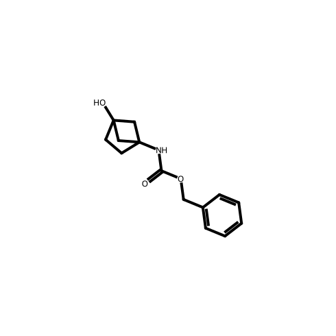 O=C(NC12CCC(O)(C1)C2)OCc1ccccc1